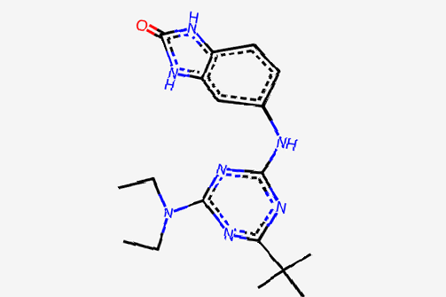 CCN(CC)c1nc(Nc2ccc3[nH]c(=O)[nH]c3c2)nc(C(C)(C)C)n1